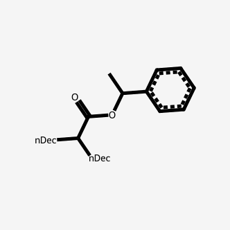 CCCCCCCCCCC(CCCCCCCCCC)C(=O)OC(C)c1ccccc1